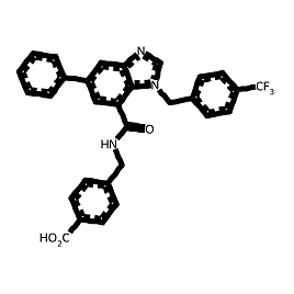 O=C(O)c1ccc(CNC(=O)c2cc(-c3ccccc3)cc3ncn(Cc4ccc(C(F)(F)F)cc4)c23)cc1